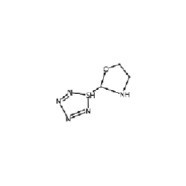 C1COC([SH]2N=NN=N2)N1